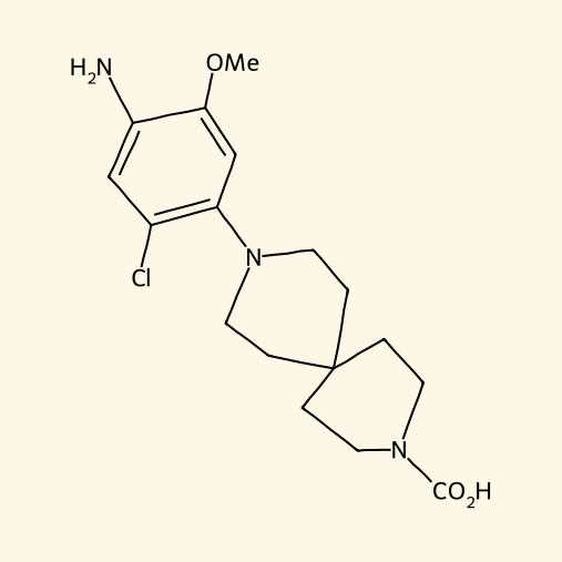 COc1cc(N2CCC3(CCN(C(=O)O)CC3)CC2)c(Cl)cc1N